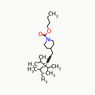 CCCCOC(=O)N1CCC(CC#C[Si](C(C)C)(C(C)C)C(C)C)CC1